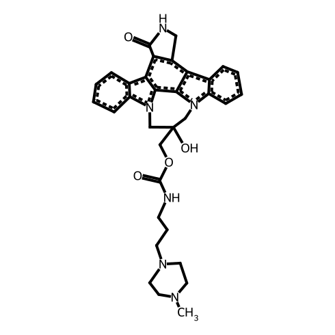 CN1CCN(CCCNC(=O)OCC2(O)Cn3c4ccccc4c4c5c(c6c7ccccc7n(c6c43)C2)C(=O)NC5)CC1